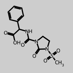 CS(=O)(=O)N1CCN(C(=O)NC(C(=O)O)c2ccccc2)C1=O